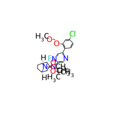 COCOc1cc(Cl)ccc1-c1cnc(N(C)[C@@H]2C[C@H]3CC[C@@H]([C@@H]2F)N3C(=O)OC(C)(C)C)cn1